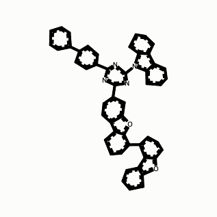 c1ccc(-c2ccc(-c3nc(-c4ccc5c(c4)oc4c(-c6cccc7oc8ccccc8c67)cccc45)nc(-n4c5ccccc5c5ccccc54)n3)cc2)cc1